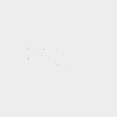 Cc1cc(Cl)cc(Cl)c1S(=O)(=O)Nc1ncc(CC(=O)N(C(C)C)C(C)C)s1